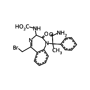 CC(C(N)=O)(c1ccccc1)N1C(=O)C(NC(=O)O)N=C(CBr)c2ccccc21